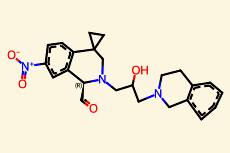 O=C[C@H]1c2cc([N+](=O)[O-])ccc2C2(CC2)CN1CC(O)CN1CCc2ccccc2C1